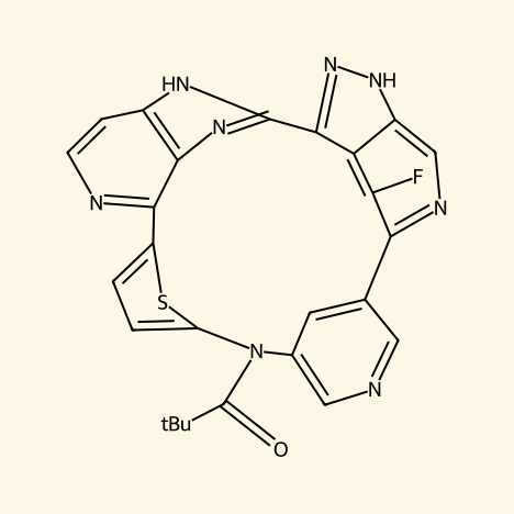 CC(C)(C)C(=O)n1c2cncc(c2)c2ncc3[nH]nc(c4nc5c(ccnc5c5ccc1s5)[nH]4)c3c2F